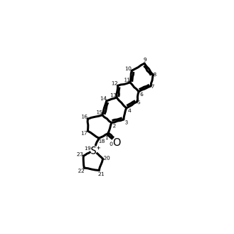 O=C1c2cc3cc4ccccc4cc3cc2CCC1[S+]1CCCC1